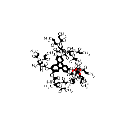 C=CC(=O)OCC(C)(COC(=O)C=C)NC(=O)Oc1cc2c3cc(OC(=O)NC(C)(COC(=O)C=C)COC(=O)C=C)c(OC(=O)NC(C)(COC(=O)C=C)COC(=O)C=C)cc3c3cc(OC(=O)NC(C)(COC(=O)C=C)COC(=O)C=C)c(OC(=O)NC(C)(COC(=O)C=C)COC(=O)C=C)cc3c2cc1OC(=O)NC(C)(COC(=O)C=C)COC(=O)C=C